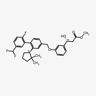 COC(=O)C[C@@H](O)c1cccc(OCc2ccc(-c3cc(C(F)F)ccc3F)c([C@@H]3CCCC3(C)C)c2)c1